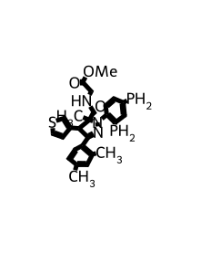 COC(=O)CNC(=O)C1(C)C(c2ccsc2)C(c2ccc(C)cc2C)=NN1c1ccc(P)cc1P